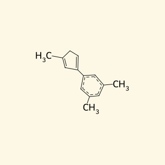 CC1=CC(c2cc(C)cc(C)c2)=CC1